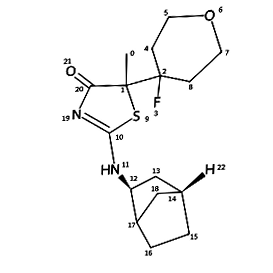 CC1(C2(F)CCOCC2)SC(N[C@H]2C[C@@H]3CCC2C3)=NC1=O